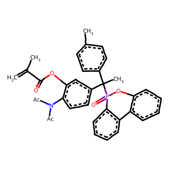 C=C(C)C(=O)Oc1cc(C(C)(c2ccc(C)cc2)P2(=O)Oc3ccccc3-c3ccccc32)ccc1N(C(C)=O)C(C)=O